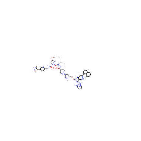 Cc1ncsc1-c1ccc(CNC(=O)[C@@H]2C[C@@H](OC=O)CN2C(=O)[C@@H](NC(=O)C2CCN([C@H]3C[C@@H](COc4nc(N5CC6CCC(C5)N6)c5cnc(-c6cccc7cccc(Cl)c67)c(F)c5n4)N(C)C3)CC2)C(C)(C)C)cc1